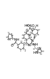 Cc1ccc(C(=O)Nc2nccs2)cc1-c1nc(NCc2ncc[nH]2)nc2c1ccc(=O)n2-c1c(F)cccc1F.O=S(=O)(O)O